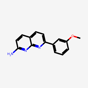 COc1cccc(-c2ccc3ccc(N)nc3n2)c1